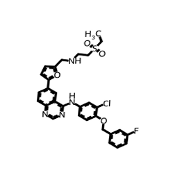 CCS(=O)(=O)CCNCc1ccc(-c2ccc3ncnc(Nc4ccc(OCc5cccc(F)c5)c(Cl)c4)c3c2)o1